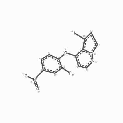 O=[N+]([O-])c1ccc(Oc2ccnn3ccc(I)c23)c(F)c1